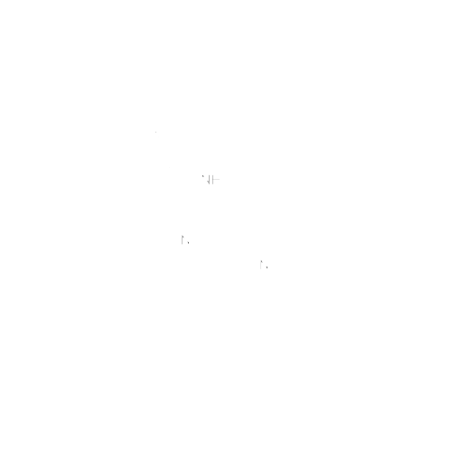 C=C=C1NC(CN(C)C/C(C)=C\CC)=NC(/C=C(/C)CC)=C1C